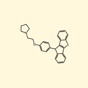 c1ccc2c(c1)-c1sc3ccccc3c1C2c1ccc(OCCN2CCCC2)cc1